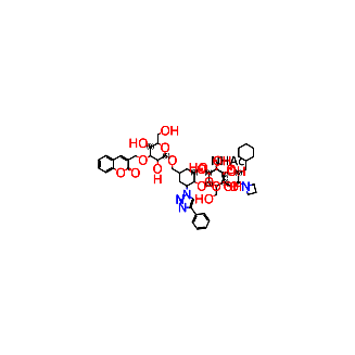 CC(=O)NC1C(O[C@@H](CC2CCCCC2)C(=O)N2CCC2)[C@@H](O)C(CO)O[C@H]1O[C@@H]1CC(CO[C@H]2OC(CO)[C@@H](O)C(OCc3cc4ccccc4oc3=O)C2O)CC(n2cc(-c3ccccc3)nn2)C1O[C@@H]1OC(C)[C@@H](O)C(O)C1O